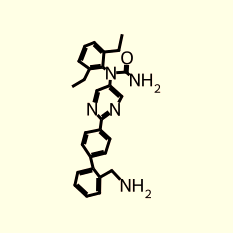 CCc1cccc(CC)c1N(C(N)=O)c1cnc(-c2ccc(-c3ccccc3CN)cc2)nc1